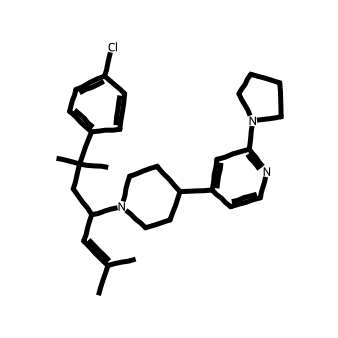 CC(C)=CC(CC(C)(C)c1ccc(Cl)cc1)N1CCC(c2ccnc(N3CCCC3)c2)CC1